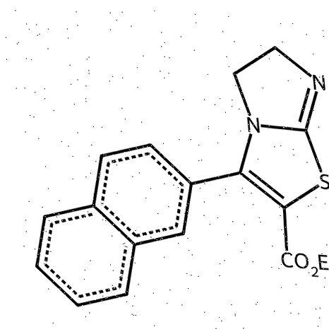 CCOC(=O)C1=C(c2ccc3ccccc3c2)N2CCN=C2S1